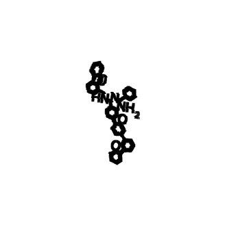 N/C(=N\C(NCc1cccc2c1oc1ccccc12)c1ccc2c(c1)oc1cc(-c3cccc4c3oc3ccccc34)ccc12)c1ccccc1